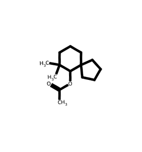 CC(=O)OC1C(C)(C)CCCC12CCCC2